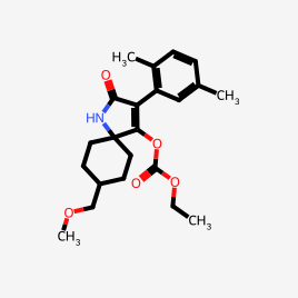 CCOC(=O)OC1=C(c2cc(C)ccc2C)C(=O)NC12CCC(COC)CC2